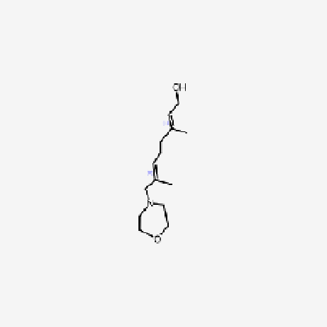 C/C(=C\CO)CC/C=C(\C)CN1CCOCC1